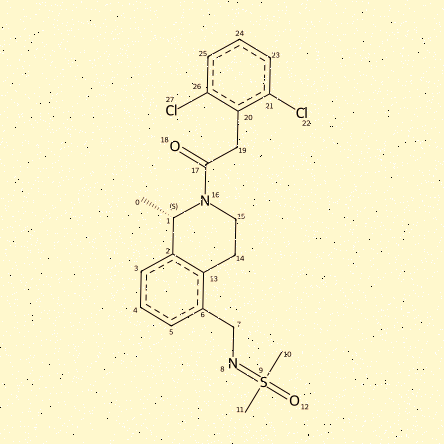 C[C@H]1c2cccc(CN=S(C)(C)=O)c2CCN1C(=O)Cc1c(Cl)cccc1Cl